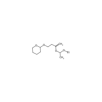 C=C(CCOC1CCCCO1)OC(C)OCC